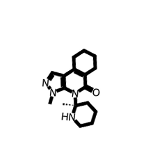 Cn1ncc2c3c(c(=O)n([C@@]4(C)CCCCN4)c21)CCCC3